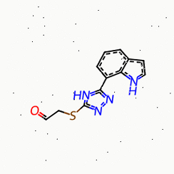 O=CCSc1nnc(-c2cccc3cc[nH]c23)[nH]1